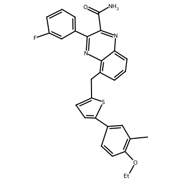 CCOc1ccc(-c2ccc(Cc3cccc4nc(C(N)=O)c(-c5cccc(F)c5)nc34)s2)cc1C